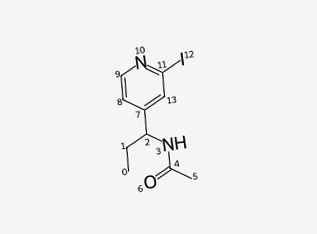 CCC(NC(C)=O)c1ccnc(I)c1